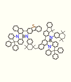 CC1(C)CCC(C)(C)c2cc(N3B4c5cccc6c5N(c5ccccc5C6(c5ccccc5)c5ccccc5)c5c4c(cc4cc(CC6(C)CCC(C)(C)c7cc(N8B9c%10cccc%11c%10N(c%10ccccc%10C%11(c%10ccccc%10)c%10ccccc%10)c%10c9c(cc9ccccc%109)-c9cc%10sc%11ccccc%11c%10cc98)ccc76)ccc54)-c4ccc5c(c43)C(C)(C)c3ccccc3-5)ccc21